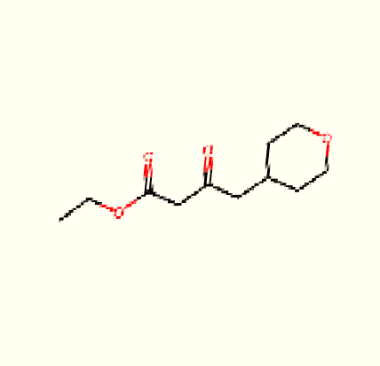 CCOC(=O)CC(=O)CC1CCOCC1